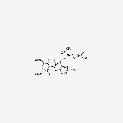 C=CC(=O)N1CC(N(CCn2c(=O)c(-c3c(Cl)c(OC)cc(OC)c3Cl)cc3cnc(NC)nc32)C(=O)C(F)(F)F)C1